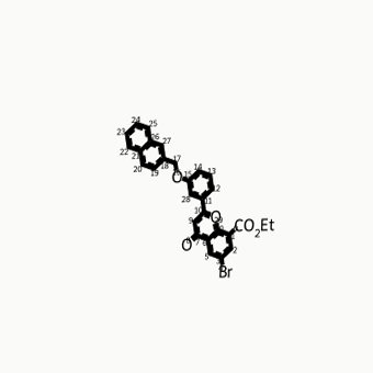 CCOC(=O)c1cc(Br)cc2c(=O)cc(-c3cccc(OCc4ccc5ccccc5c4)c3)oc12